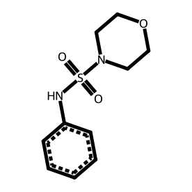 O=S(=O)(Nc1ccccc1)N1CCOCC1